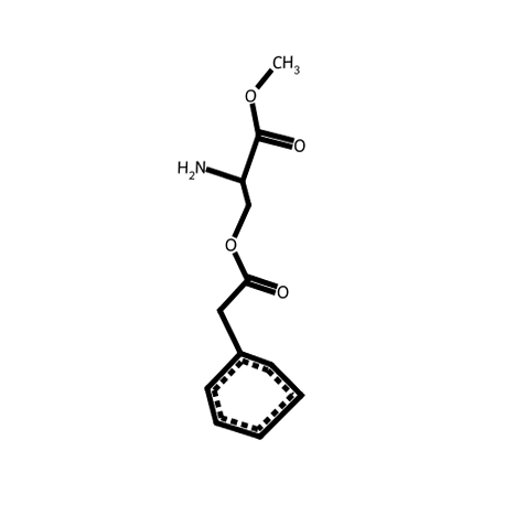 COC(=O)C(N)COC(=O)Cc1ccccc1